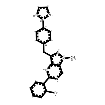 CC(C)c1ccccc1-c1ncc2c(n1)c(Cc1ccc(-n3nccn3)cc1)nn2C